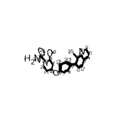 COC1CC(Oc2ccc(-c3ccc4cccnc4c3C)cc2)CCN1C(N)=O